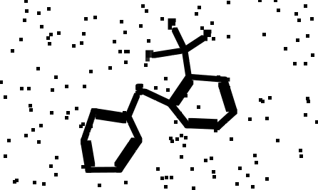 FC(F)(F)c1[c]cccc1Sc1ccccc1